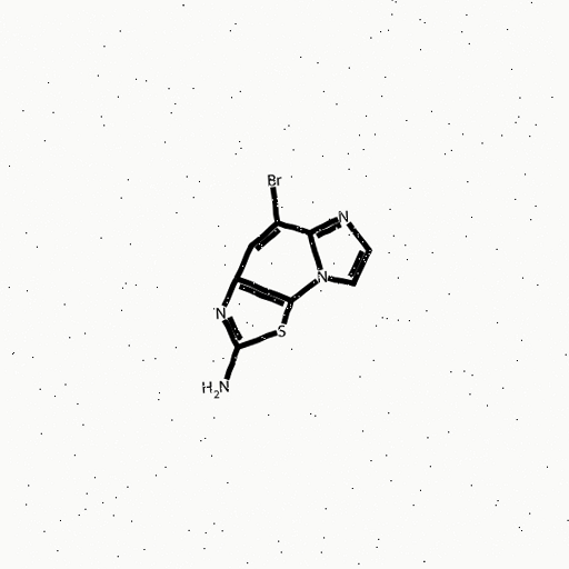 Nc1nc2cc(Br)c3nccn3c2s1